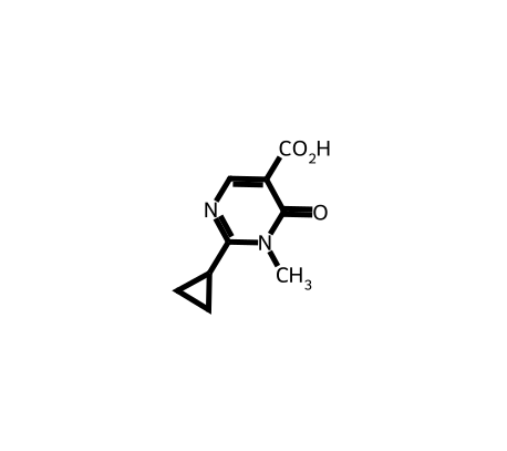 Cn1c(C2CC2)ncc(C(=O)O)c1=O